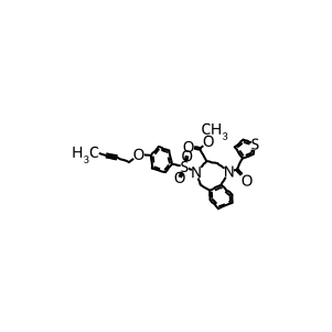 CC#CCOc1ccc(S(=O)(=O)N2Cc3ccccc3N(C(=O)c3ccsc3)CC2C(=O)OC)cc1